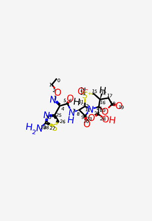 CCO/N=C(\C(=O)N[C@@H]1C(=O)N2[C@@H]1[S@@+]([O-])C[C@@H]1CC(=O)O[C@@]12C(=O)O)c1csc(N)n1